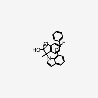 CC(C(=O)O)(c1ccc(F)cc1Cl)n1ccc2cccc(OCc3ccccc3)c21